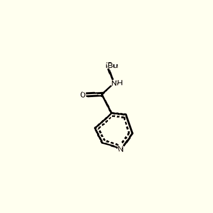 [CH2]C(CC)NC(=O)c1ccncc1